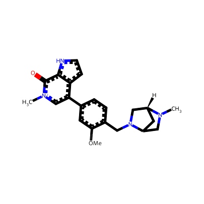 COc1cc(-c2cn(C)c(=O)c3[nH]ccc23)ccc1CN1C[C@H]2CC1CN2C